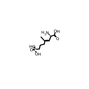 C/C(=C\[C@@H](N)C(=O)O)CCCP(=O)(O)O